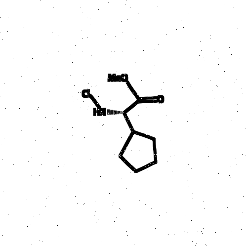 COC(=O)[C@@H](NCl)C1CCCC1